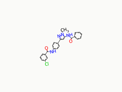 Cn1nc(-c2ccc(NC(=O)c3cccc(Cl)c3)cc2)cc1NC(=O)c1ccccc1